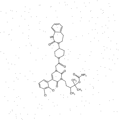 CC(CCn1c(=O)c(-c2cccc(Cl)c2Cl)cn(CC(=O)N2CCC(N3CCc4ccccc4NC3=O)CC2)c1=O)C(C)(C)OC(N)=O